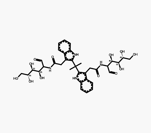 CC(C)(c1[nH]c2ccccc2c1CC(=O)NC(C=O)[C@@H](O)[C@H](O)[C@H](O)CO)c1[nH]c2ccccc2c1CC(=O)NC(C=O)[C@@H](O)[C@H](O)[C@H](O)CO